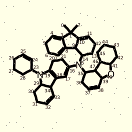 CC1(C)C2=CCCC=C2C2C1=CCCC2N(C1=CC2=C(CC1)N(C1C=CCCC1)C1CCC=CC21)C1CC=CC2OC3CCCCC3C21